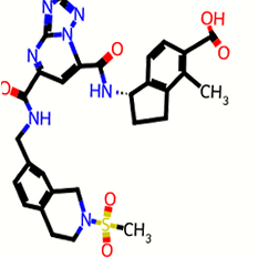 Cc1c(C(=O)O)ccc2c1CC[C@@H]2NC(=O)c1cc(C(=O)NCc2ccc3c(c2)CN(S(C)(=O)=O)CC3)nc2ncnn12